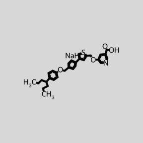 CCCC(CCC)c1ccc(OCc2ccc(-c3csc(COc4cncc(C(=O)O)c4)c3)cc2)cc1.[NaH]